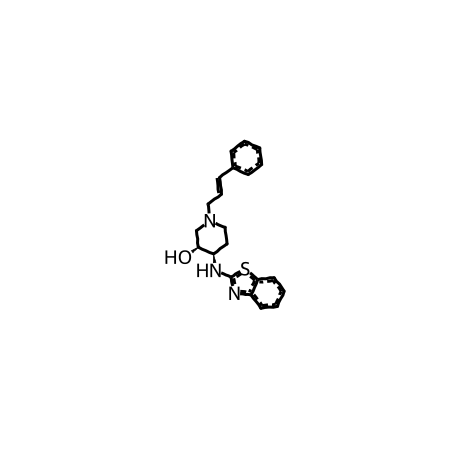 O[C@H]1CN(CC=Cc2ccccc2)CC[C@H]1Nc1nc2ccccc2s1